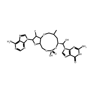 CC1COC2C(COP(=O)(O)O[C@H](C(O)n3cnc4c(=O)[nH]c(N)nc43)C1)OC(n1cnc3c(N)ncnc31)C2F